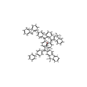 CC1(C)c2ccccc2-c2ccc(N(c3ccc(-c4ccccc4)cc3)c3ccc(-n4c5ccc(-c6cccc7c6sc6ccccc67)cc5c5ccc6c7c(n(-c8ccccc8)c6c54)-c4ccccc4C7(C)C)cc3)cc21